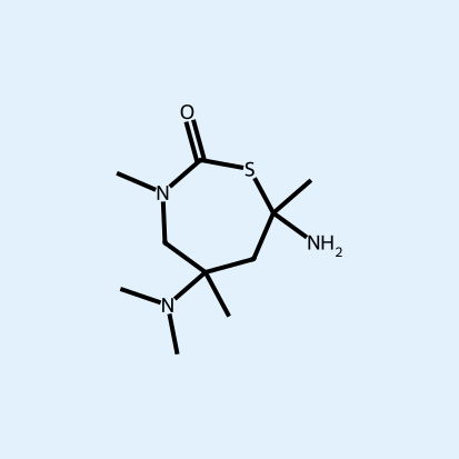 CN1CC(C)(N(C)C)CC(C)(N)SC1=O